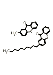 CCCCCCCCCCc1ccc2sc3ccccc3c(=O)c2c1.Cc1ccc2sc3ccccc3c(=O)c2c1